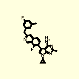 Cc1nc(N)c2c(-c3ccc4cc(Cc5cc(F)cc(F)c5)ncc4c3F)cn(C3CC3)c2n1